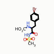 CS(=O)(=O)NC(=O)C(Cc1ccc(Br)cc1)NC(=O)O